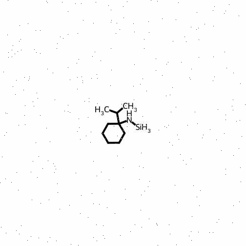 CC(C)C1(N[SiH3])CCCCC1